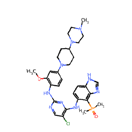 COc1cc(N2CCC(N3CCN(C)CC3)CC2)ccc1Nc1ncc(Cl)c(Nc2ccc3[nH]cnc3c2P(C)(C)=O)n1